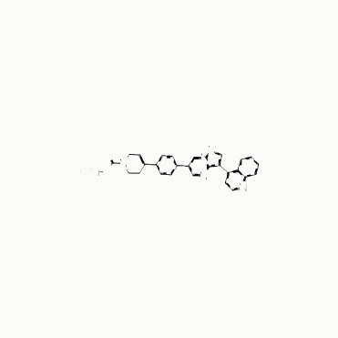 CC(C)(C)OC(=O)N1CC=C(c2ccc(-c3cnc4c(-c5ccnc6ccccc56)cnn4c3)cc2)CC1